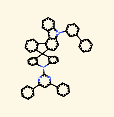 c1ccc(-c2cccc(-n3c4ccccc4c4c5c(ccc43)C3(c4ccccc4-5)c4ccccc4N(c4nc(-c5ccccc5)cc(-c5ccccc5)n4)c4ccccc43)c2)cc1